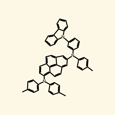 Cc1ccc(N(c2cccc(-n3c4ccccc4c4ccccc43)c2)c2cc3ccc4ccc(N(c5ccc(C)cc5)c5ccc(C)cc5)c5ccc(c2)c3c45)cc1